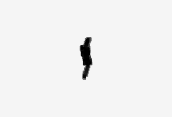 CCCCCCCCCc1cnc(-c2ccc(C(=O)Oc3ccc(CCCCCC)c(F)c3)cc2)nc1